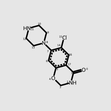 O=C1NCOc2cc(N3CCNCC3)c(Cl)cc21